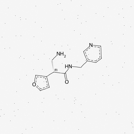 NC[C@H](C(=O)NCc1cccnc1)c1ccoc1